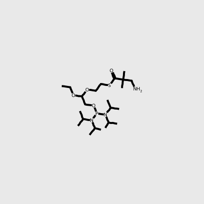 CCOC(COP(N(C(C)C)C(C)C)N(C(C)C)C(C)C)OCCSC(=O)C(C)(C)CN